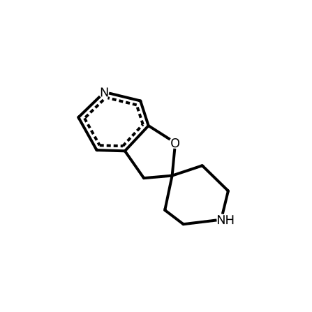 c1cc2c(cn1)OC1(CCNCC1)C2